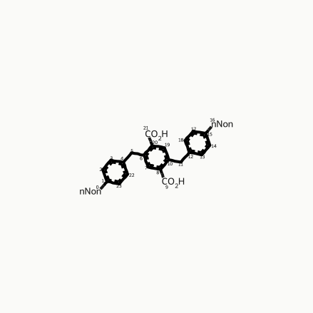 CCCCCCCCCc1ccc(Cc2cc(C(=O)O)c(Cc3ccc(CCCCCCCCC)cc3)cc2C(=O)O)cc1